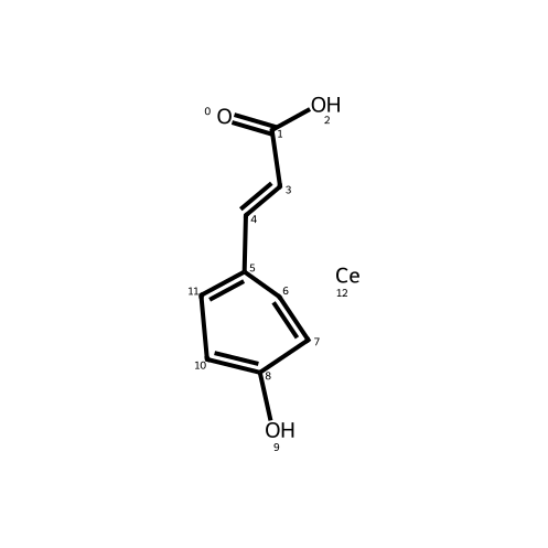 O=C(O)C=Cc1ccc(O)cc1.[Ce]